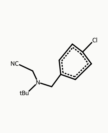 CC(C)(C)N(CC#N)Cc1ccc(Cl)cc1